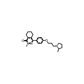 CC1CCCN1CCCOc1ccc(-c2nn(C)c(=O)c3c2CCCC3)cc1